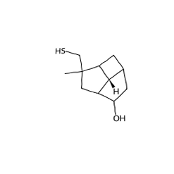 CC1(CS)CC2C(O)CC3CC1[C@H]32